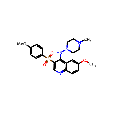 COc1ccc(S(=O)(=O)c2cnc3ccc(OC(F)(F)F)cc3c2NN2CCN(C)CC2)cc1